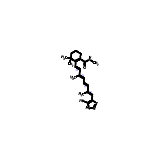 CNC(=O)C1=C(/C=C/C(C)=C/C=C/C(C)=C/c2nn[nH]c2S)C(C)(C)CCC1